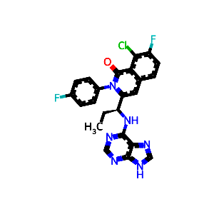 CC[C@H](Nc1ncnc2[nH]cnc12)c1cc2ccc(F)c(Cl)c2c(=O)n1-c1ccc(F)cc1